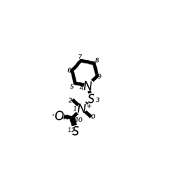 C[N+](C)(SN1CCCCC1)C([O])=S